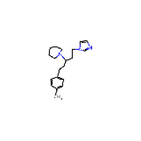 Cc1ccc(CCC(CCn2ccnc2)N2CCCCC2)cc1